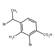 Cc1c(C(C)Br)ccc(C(=O)O)c1Br